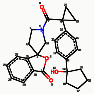 O=C1OC2(CCN(C(=O)C3(c4ccc(C5(O)CCCC5)cc4)CC3)C2)c2ccccc21